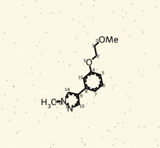 COCCOc1c[c]cc(-c2cnn(C)c2)c1